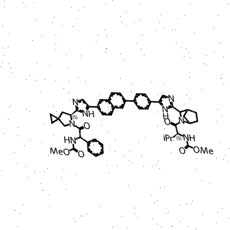 COC(=O)NC(C(=O)N1CC2(CC2)C[C@H]1c1ncc(-c2ccc3cc(-c4ccc(-c5cnc(C6C7CCC(C7)N6C(=O)[C@@H](NC(=O)OC)C(C)C)[nH]5)cc4)ccc3c2)[nH]1)c1ccccc1